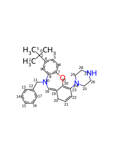 CC(C)(C)c1ccc2c(c1)N(Cc1ccccc1)C=C1CC=CC(N3CCNCC3)=C1O2